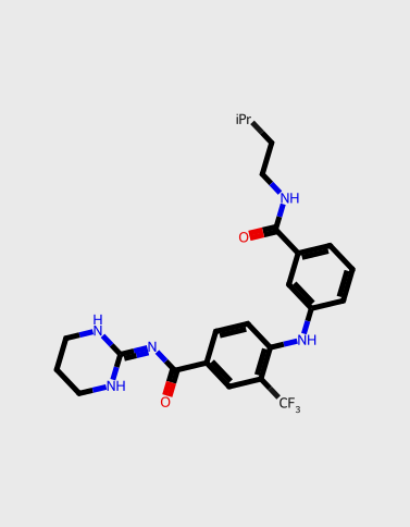 CC(C)CCNC(=O)c1cccc(Nc2ccc(C(=O)N=C3NCCCN3)cc2C(F)(F)F)c1